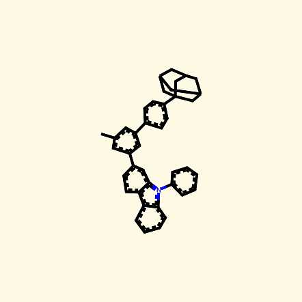 Cc1cc(-c2ccc(C34CC5CC(CC(C5)C3)C4)cc2)cc(-c2ccc3c4ccccc4n(-c4ccccc4)c3c2)c1